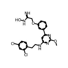 COc1nc(NCCc2ccc(Cl)cc2Cl)cc(-c2cccc(OCC(=N)NO)c2)n1